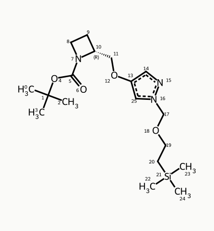 CC(C)(C)OC(=O)N1CC[C@@H]1COc1cnn(COCC[Si](C)(C)C)c1